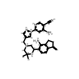 C=C1CCc2c1ccc(C1CN(Cc3cnn(-c4cc(N)c(C#N)cn4)c3)CC(C)(C)O1)c2N